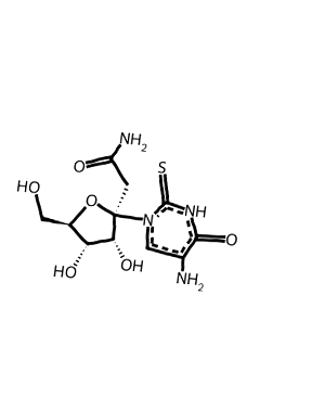 NC(=O)C[C@@]1(n2cc(N)c(=O)[nH]c2=S)O[C@H](CO)[C@@H](O)[C@H]1O